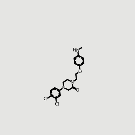 CNc1ccc(OCCN2CCN(c3ccc(Cl)c(Cl)c3)CC2=O)cc1